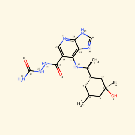 CC[C@]1(O)CC(C)C[C@H]([C@H](C)Nc2c(C(=O)NNC(N)=O)cnc3[nH]cnc23)C1